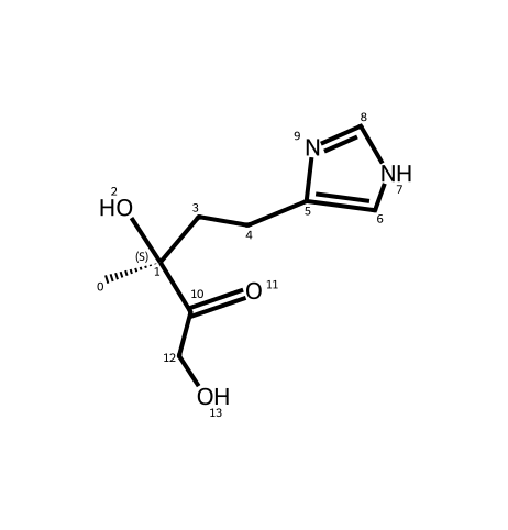 C[C@](O)(CCc1c[nH]cn1)C(=O)CO